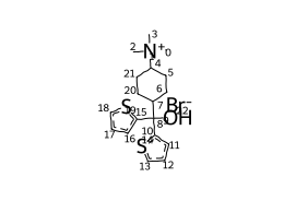 C[N+](C)(C)C1CCC(C(O)(c2cccs2)c2cccs2)CC1.[Br-]